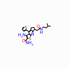 CC(C)CCNC(=O)CC1CCc2c1nc1sc(C(N)=O)c(N)c1c2-c1cccs1